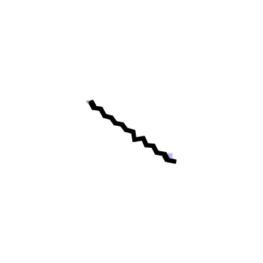 [CH]=CCCCCCCCCCCCC/C=C/C